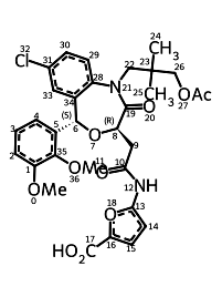 COc1cccc([C@H]2O[C@H](CC(=O)Nc3ccc(C(=O)O)o3)C(=O)N(CC(C)(C)COC(C)=O)c3ccc(Cl)cc32)c1OC